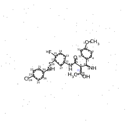 COc1ccc(C(=N)/C(C(=O)Nc2ccc(F)c(SNc3ccc(Cl)cc3)c2)=C(/C)O)cc1